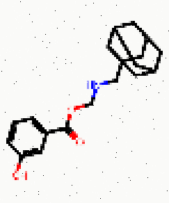 O=C(OCNCC12CC3CC(CC(C3)C1)C2)c1cccc(O)c1